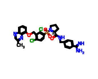 Cc1cnc2cccc(OCc3c(Cl)ccc(S(=O)(=O)N4CCC[C@H]4C(=O)NCc4ccc(C(=N)N)cc4)c3Cl)c2n1